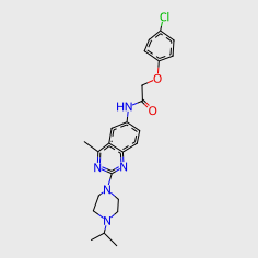 Cc1nc(N2CCN(C(C)C)CC2)nc2ccc(NC(=O)COc3ccc(Cl)cc3)cc12